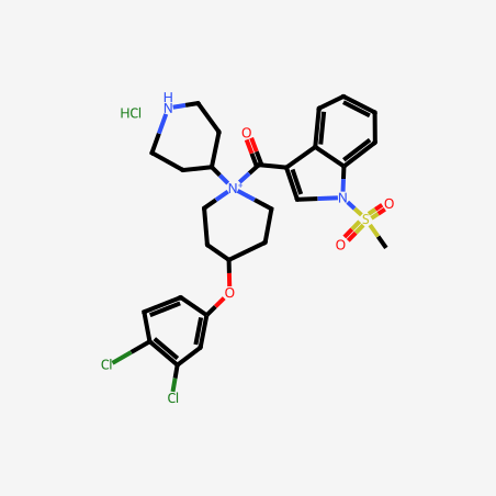 CS(=O)(=O)n1cc(C(=O)[N+]2(C3CCNCC3)CCC(Oc3ccc(Cl)c(Cl)c3)CC2)c2ccccc21.Cl